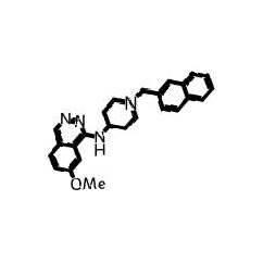 COc1ccc2cnnc(NC3CCN(Cc4ccc5ccccc5c4)CC3)c2c1